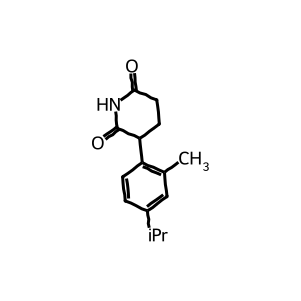 Cc1cc(C(C)C)ccc1C1CCC(=O)NC1=O